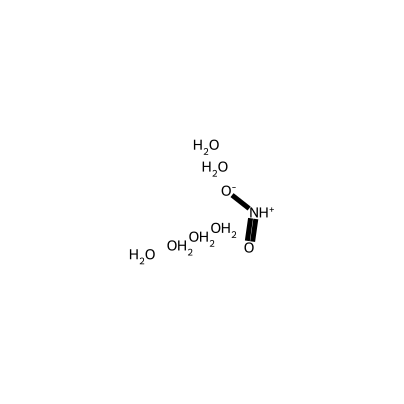 O.O.O.O.O.O.O=[NH+][O-]